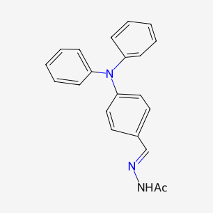 CC(=O)N/N=C/c1ccc(N(c2ccccc2)c2ccccc2)cc1